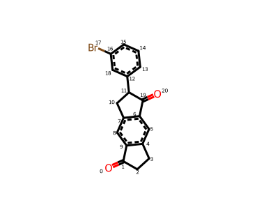 O=C1CCc2cc3c(cc21)CC(c1cccc(Br)c1)C3=O